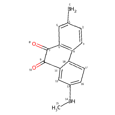 Bc1ccc2c(c1)C(=O)C(=O)c1cc(BC)ccc1-2